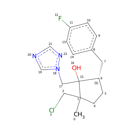 CC1(CCl)CC[C@@H](Cc2ccc(F)cc2)C1(O)Cn1cncn1